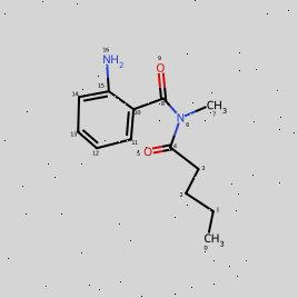 CCCCC(=O)N(C)C(=O)c1ccccc1N